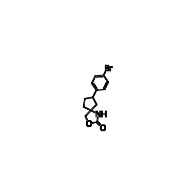 O=C1NC2(CCC(c3ccc(Br)cc3)C2)CO1